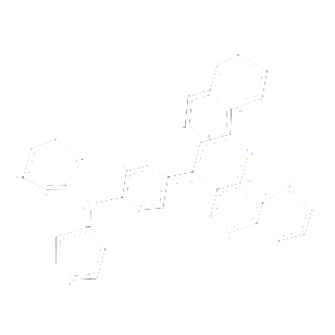 c1ccc(P(c2ccccc2)c2ccc(-c3c4ccc5ccccc5c4nc4c3ccc3ccccc34)cc2)cc1